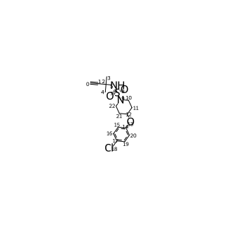 C#CC(C)(C)NS(=O)(=O)N1CCC(Oc2ccc(Cl)cc2)CC1